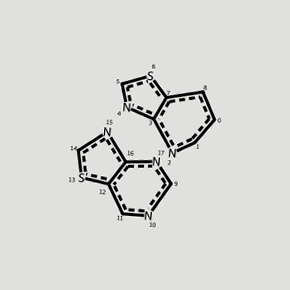 c1cnc2ncsc2c1.c1ncc2scnc2n1